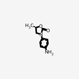 C[C@@H]1CN(c2ccc(N)cc2)C(=O)O1